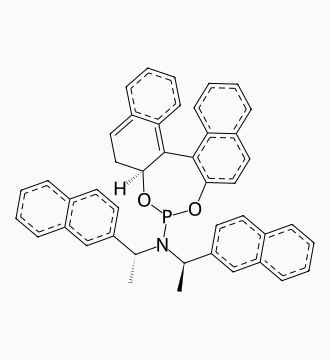 C[C@H](c1ccc2ccccc2c1)N([C@H](C)c1ccc2ccccc2c1)P1Oc2ccc3ccccc3c2C2=c3ccccc3=CC[C@@H]2O1